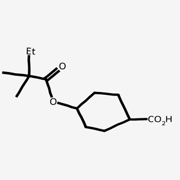 CCC(C)(C)C(=O)OC1CCC(C(=O)O)CC1